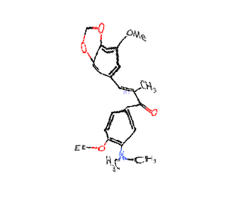 CCOc1ccc(C(=O)/C(C)=C/c2cc(OC)c3c(c2)OCO3)cc1N(C)C